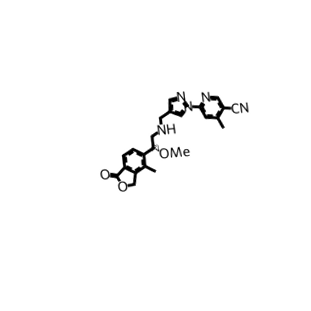 CO[C@@H](CNCc1cnn(-c2cc(C)c(C#N)cn2)c1)c1ccc2c(c1C)COC2=O